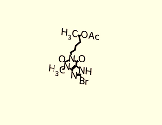 CC(=O)OC(C)CCCCn1c(=O)c2[nH]c(Br)nc2n(C)c1=O